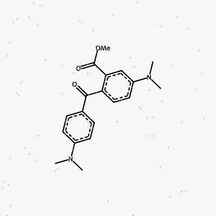 COC(=O)c1cc(N(C)C)ccc1C(=O)c1ccc(N(C)C)cc1